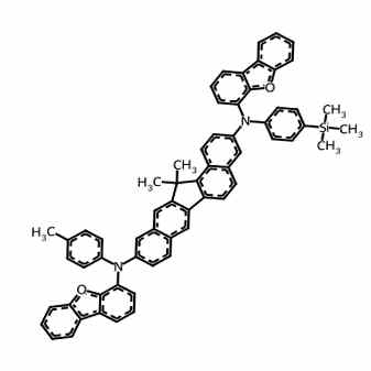 Cc1ccc(N(c2ccc3cc4c(cc3c2)C(C)(C)c2c-4ccc3cc(N(c4ccc([Si](C)(C)C)cc4)c4cccc5c4oc4ccccc45)ccc23)c2cccc3c2oc2ccccc23)cc1